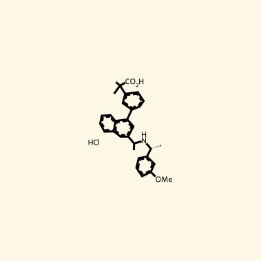 COc1cccc([C@@H](C)NC(C)c2cc(-c3cccc(C(C)(C)C(=O)O)c3)c3ccccc3c2)c1.Cl